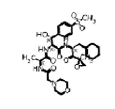 C[C@H](NC(=O)CN1CCOCC1)C(=O)N[C@H](C(=O)N[C@@H](CC1=CCCCC1)C(=O)[C@@]1(C)CO1)[C@H](O)c1ccc(S(C)(=O)=O)cc1